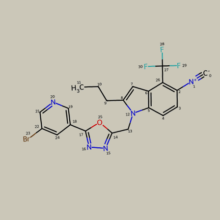 [C-]#[N+]c1ccc2c(cc(CCC)n2Cc2nnc(-c3cncc(Br)c3)o2)c1C(F)(F)F